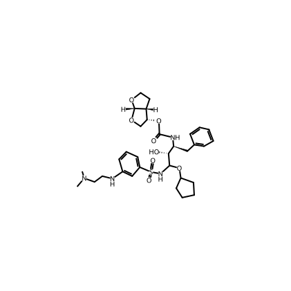 CN(C)CCNc1cccc(S(=O)(=O)NC(OC2CCCC2)[C@H](O)[C@H](Cc2ccccc2)NC(=O)O[C@@H]2CO[C@@H]3OCC[C@@H]32)c1